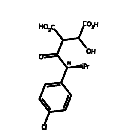 CC(C)[C@H](C(=O)C(C(=O)O)C(O)C(=O)O)c1ccc(Cl)cc1